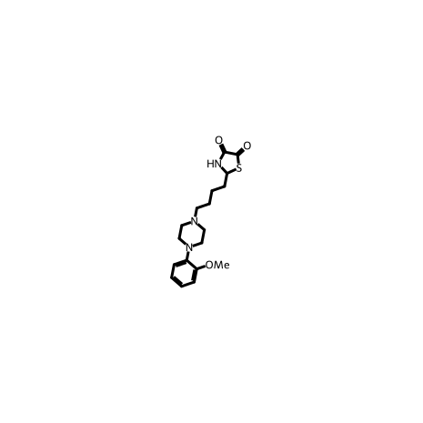 COc1ccccc1N1CCN(CCCCC2NC(=O)C(=O)S2)CC1